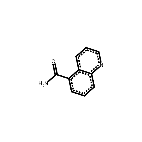 NC(=O)c1cccc2nc[c]cc12